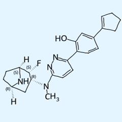 CN(c1ccc(-c2ccc(C3=CCCC3)cc2O)nn1)[C@@H]1C[C@H]2CC[C@H](N2)[C@@H]1F